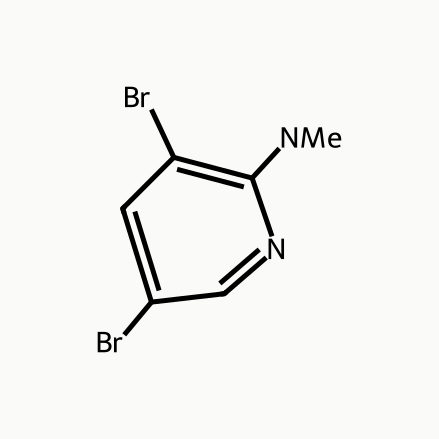 CNc1ncc(Br)cc1Br